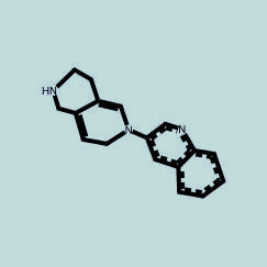 C1=C2CCNCC2=CCN1c1cnc2ccccc2c1